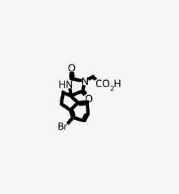 O=C(O)CN1C(=O)NC2(CCc3c(Br)cccc32)C1=O